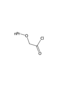 [CH2]CCOCC(=O)Cl